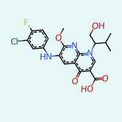 COc1nc2c(cc1Nc1ccc(F)c(Cl)c1)c(=O)c(C(=O)O)cn2C(CO)C(C)C